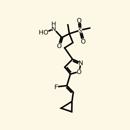 CC(CCc1cc(/C(F)=C/C2CC2)on1)(C(=O)NO)S(C)(=O)=O